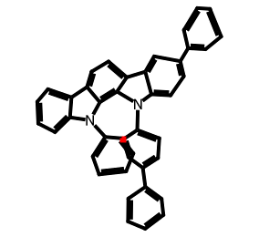 c1ccc(-c2ccc(-n3c4ccc(-c5ccccc5)cc4c4ccc5c6ccccc6n(-c6ccccc6)c5c43)cc2)cc1